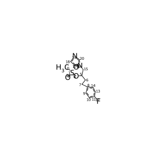 CS(=O)(=O)OC(CCc1ccc(F)cc1)Cn1ccnc1